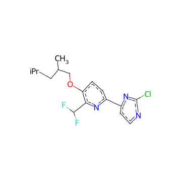 CC(C)CC(C)COc1ccc(-c2ccnc(Cl)n2)nc1C(F)F